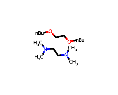 CCCCOCCOCCCC.CN(C)CCN(C)C